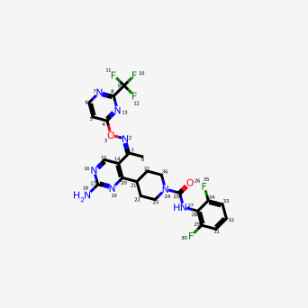 CC(=NOc1ccnc(C(F)(F)F)n1)c1cnc(N)nc1C1CCN(C(=O)Nc2c(F)cccc2F)CC1